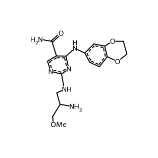 COCC(N)CNc1ncc(C(N)=O)c(Nc2ccc3c(c2)OCCO3)n1